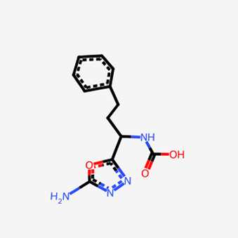 Nc1nnc(C(CCc2ccccc2)NC(=O)O)o1